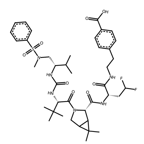 CC(C)[C@@H](CN(C)S(=O)(=O)c1ccccc1)NC(=O)N[C@H](C(=O)N1CC2C([C@H]1C(=O)N[C@@H](CC(F)F)C(=O)NCCc1ccc(C(=O)O)cc1)C2(C)C)C(C)(C)C